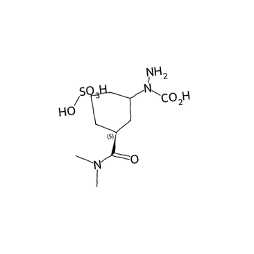 CN(C)C(=O)[C@H]1CCCC(N(N)C(=O)O)C1.O=S(=O)(O)O